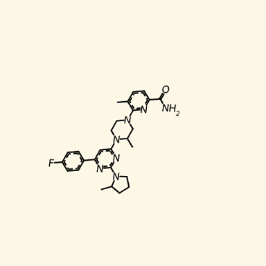 Cc1ccc(C(N)=O)nc1N1CCN(c2cc(-c3ccc(F)cc3)nc(N3CCCC3C)n2)C(C)C1